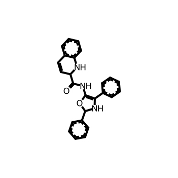 O=C(NC1=C(c2ccccc2)NC(c2ccccc2)O1)C1C=Cc2ccccc2N1